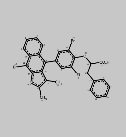 CCc1cc(-c2c3ccccc3c(Br)c3sc(C)c(C)c23)cc(Br)c1OC(Cc1ccccc1)C(=O)O